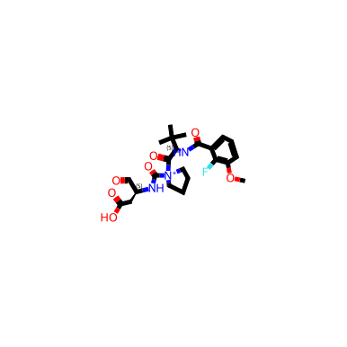 COc1cccc(C(=O)N[C@H](C(=O)[N+]2(C(=O)N[C@H](C=O)CC(=O)O)CCCC2)C(C)(C)C)c1F